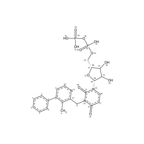 Cc1c(-c2ccccc2)ccnc1Cn1c(=O)ccn([C@@H]2O[C@H](COP(=O)(O)OP(=O)(O)O)C(O)C2O)c1=O